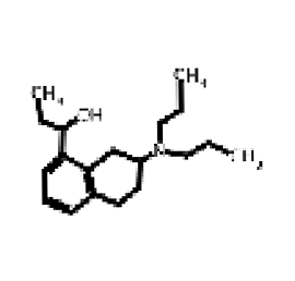 CCCN(CCC)C1CCc2cccc(C(O)CC)c2C1